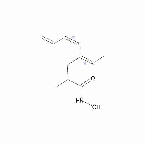 C=C/C=C\C(=C/C)CC(C)C(=O)NO